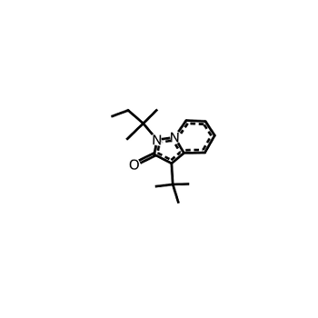 CCC(C)(C)n1c(=O)c(C(C)(C)C)c2ccccn21